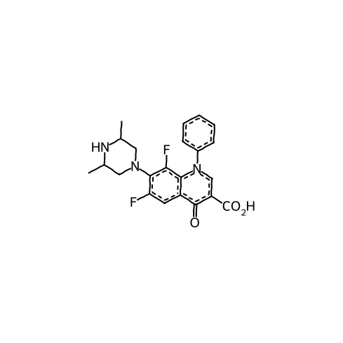 CC1CN(c2c(F)cc3c(=O)c(C(=O)O)cn(-c4ccccc4)c3c2F)CC(C)N1